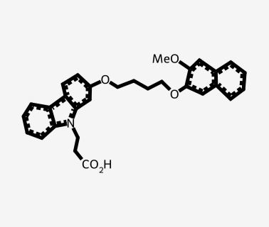 COc1cc2ccccc2cc1OCCCCOc1ccc2c3ccccc3n(CCC(=O)O)c2c1